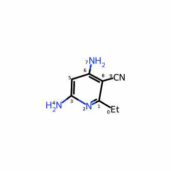 CCc1nc(N)cc(N)c1C#N